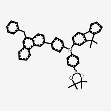 CC1(C)c2ccccc2-c2ccc(N(c3ccc(B4OC(C)(C)C(C)(C)O4)cc3)c3ccc(-c4ccc5c(Cc6ccccc6)cc6ccccc6c5c4)cc3)cc21